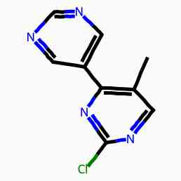 Cc1cnc(Cl)nc1-c1cncnc1